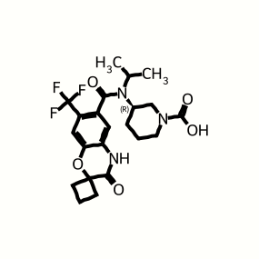 CC(C)N(C(=O)c1cc2c(cc1C(F)(F)F)OC1(CCC1)C(=O)N2)[C@@H]1CCCN(C(=O)O)C1